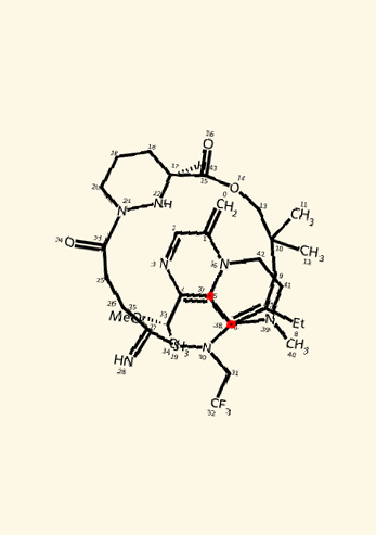 C=C(\C=N/C(=C/C1=C(/CC)CC(C)(C)COC(=O)[C@@H]2CCCN(N2)C(=O)CCC(=N)SN1CC(F)(F)F)[C@H](C)OC)N1CCN(C)CC1